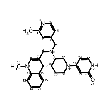 Cc1cc(CN(CC2=CN(C)c3ccccc3C2)[C@H]2CCCN(c3cc[nH]c(=O)c3)C2)ccn1